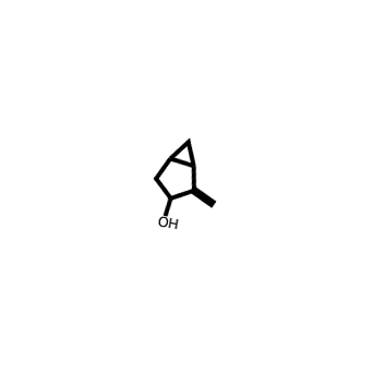 C=C1C(O)CC2CC12